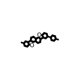 Cc1ccc(-c2ccc3oc4c(ccc5c4ccc4c6cc(C)ccc6oc45)c3c2)cc1